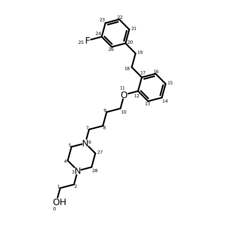 OCCN1CCN(CCCCOc2ccccc2CCc2cccc(F)c2)CC1